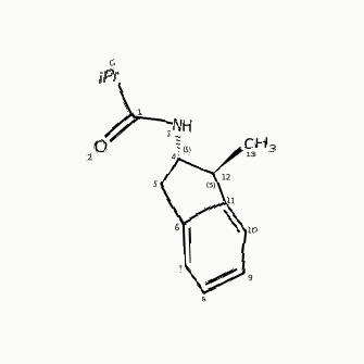 CC(C)C(=O)N[C@H]1Cc2ccccc2[C@@H]1C